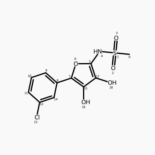 CS(=O)(=O)Nc1oc(-c2cccc(Cl)c2)c(O)c1O